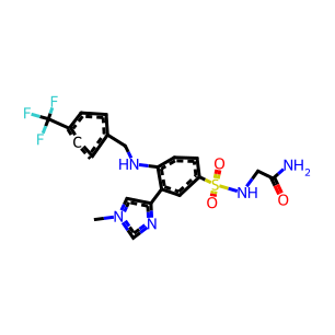 Cn1cnc(-c2cc(S(=O)(=O)NCC(N)=O)ccc2NCc2ccc(C(F)(F)F)cc2)c1